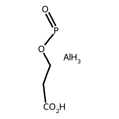 O=POCCC(=O)O.[AlH3]